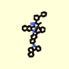 CC1C(C2=CCCCC2)=NC(c2cc3c(cc2-n2c4ccccc4c4cc5cc(-n6c7c(c8c6CCc6ccccc6-8)CCC=C7)ccc5cc42)CCC=C3)NC1C1C=C(C2C=CC=CC2)C=CC1